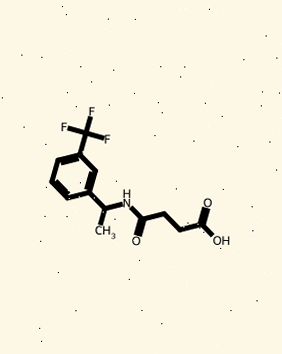 CC(NC(=O)CCC(=O)O)c1cccc(C(F)(F)F)c1